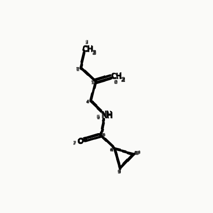 C=C(CC)CNC(=O)C1CC1